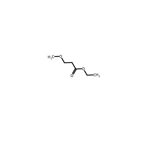 CCOC(=O)CCOC